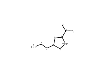 CC(C)C1CC(CCO)CN1